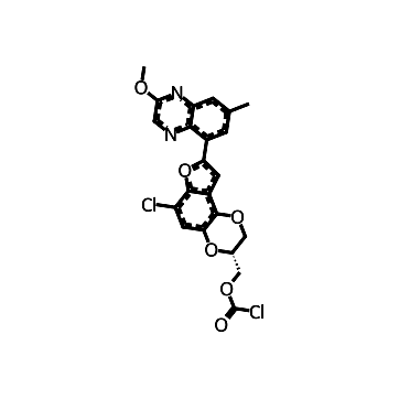 COc1cnc2c(-c3cc4c5c(cc(Cl)c4o3)O[C@@H](COC(=O)Cl)CO5)cc(C)cc2n1